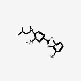 CC(C)CN(C)c1ccc(-c2nc3c(Br)cccc3o2)cc1N